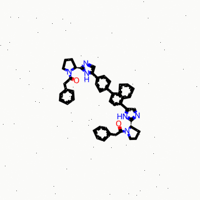 O=C(Cc1ccccc1)N1CCC[C@H]1c1ncc(-c2ccc(-c3ccc(-c4cnc([C@@H]5CCCN5C(=O)Cc5ccccc5)[nH]4)c4ccccc34)cc2)[nH]1